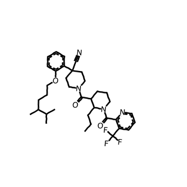 CCCC1C(C(=O)N2CCC(C#N)(c3ccccc3OCCCC(C)C(C)C)CC2)CCCN1C(=O)c1ncccc1C(F)(F)F